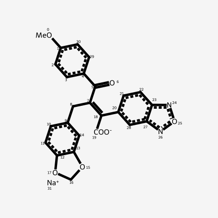 COc1ccc(C(=O)C(Cc2ccc3c(c2)OCO3)=C(C(=O)[O-])c2ccc3nonc3c2)cc1.[Na+]